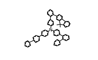 CC1(C)c2ccccc2-c2ccc(-c3ccccc3-c3ccc(N(c4ccc(-c5ccc(-c6ccccc6)cc5)cc4)c4ccc(-c5ccccc5-c5ccccc5)cc4)cc3)cc21